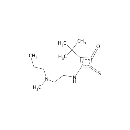 CCCN(C)CCNc1c(C(C)(C)C)c(=O)c1=S